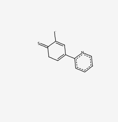 [CH2]C1=CC(c2ccccn2)=CCC1=S